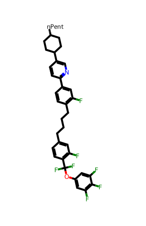 CCCCCC1CCC(c2ccc(-c3ccc(CCCCc4ccc(C(F)(F)Oc5cc(F)c(F)c(F)c5)c(F)c4)c(F)c3)nc2)CC1